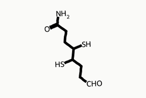 NC(=O)CCC(S)C(S)CCC=O